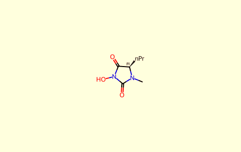 CCC[C@@H]1C(=O)N(O)C(=O)N1C